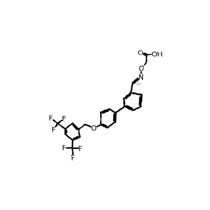 O=C(O)CO/N=C/c1cccc(-c2ccc(OCc3cc(C(F)(F)F)cc(C(F)(F)F)c3)cc2)c1